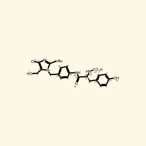 CCCCc1nc(Cl)c(CO)n1Cc1ccc(NC(=O)[C@H](Cc2ccc(O)cc2)NC(=O)O)cc1